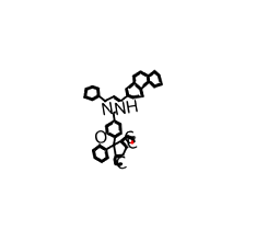 C1=C(c2ccc3c(ccc4ccccc43)c2)NC(c2ccc3c(c2)Oc2ccccc2C32c3ccccc3-c3ccccc32)N=C1c1ccccc1